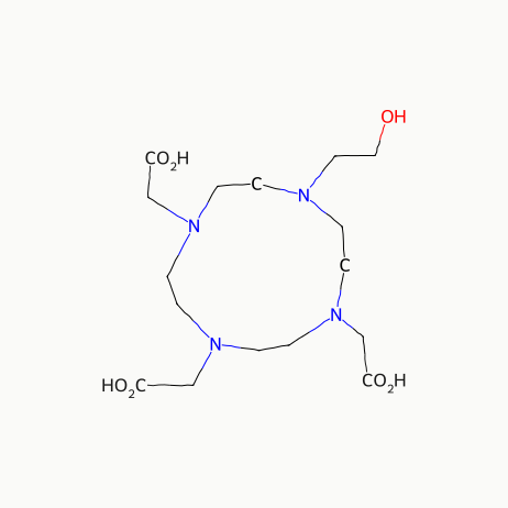 O=C(O)CN1CCN(CCO)CCN(CC(=O)O)CCN(CC(=O)O)CC1